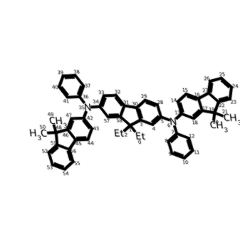 CCC1(CC)c2cc(N(c3ccccc3)c3ccc4c(c3)C(C)(C)c3ccccc3-4)ccc2-c2ccc(N(c3ccccc3)c3ccc4c(c3)C(C)(C)c3ccccc3-4)cc21